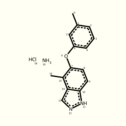 Cc1cccc(Oc2ccc3[nH]ncc3c2C)c1.Cl.N